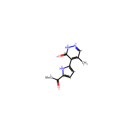 COC(=O)c1ccc(-c2c(C)cn[nH]c2=O)[nH]1